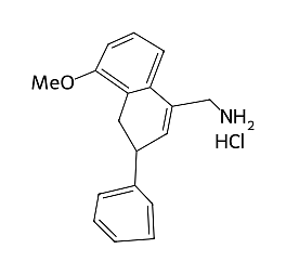 COc1cccc2c1CC(c1ccccc1)C=C2CN.Cl